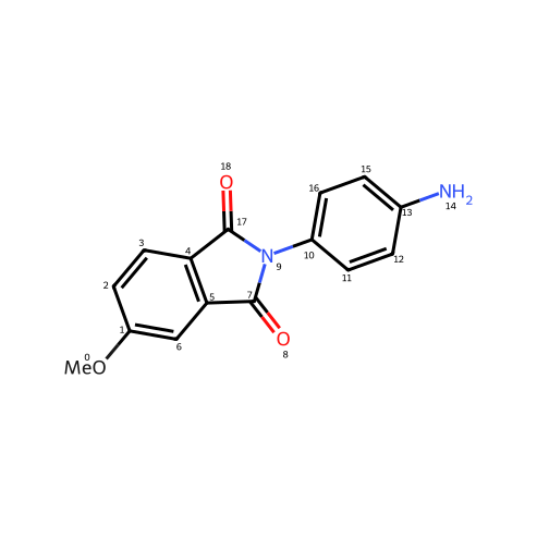 COc1ccc2c(c1)C(=O)N(c1ccc(N)cc1)C2=O